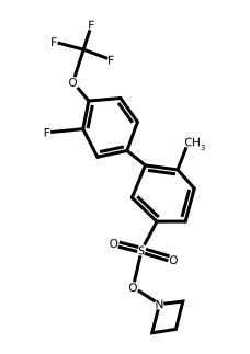 Cc1ccc(S(=O)(=O)ON2CCC2)cc1-c1ccc(OC(F)(F)F)c(F)c1